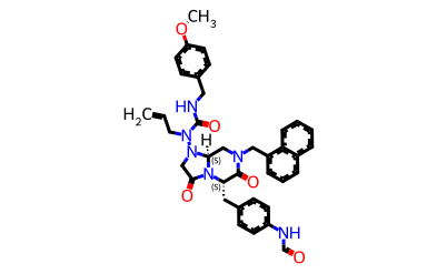 C=CCN(C(=O)NCc1ccc(OC)cc1)N1CC(=O)N2[C@@H](Cc3ccc(NC=O)cc3)C(=O)N(Cc3cccc4ccccc34)C[C@@H]21